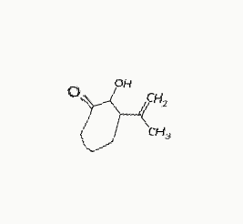 C=C(C)C1CCCC(=O)C1O